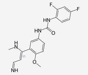 CN/C(=C\C=N)c1cc(NC(=O)Nc2ccc(F)cc2F)ccc1OC